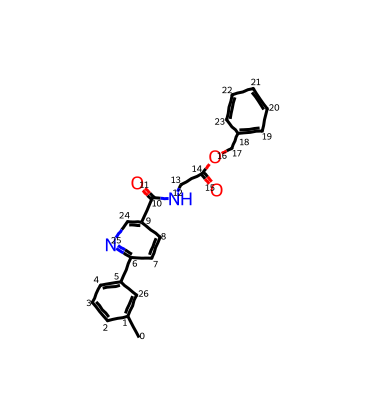 Cc1cccc(-c2ccc(C(=O)NCC(=O)OCc3ccccc3)cn2)c1